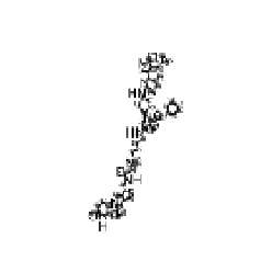 Cn1ncc(-c2nc(NC3CCC(N(CC(=O)NCCCCCNCC(=O)NCc4scc5c4CN(C4CCC(=O)NC4=O)C5=O)C(=O)OCc4ccccc4)CC3)ncc2F)c1CC1CC1